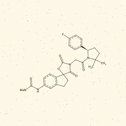 CNC(=O)Nc1ccc2c(c1)CCC21OC(=O)N(CC(=O)N2[C@@H](c3ccc(F)cc3)CCC2(C)C)C1=O